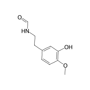 COc1ccc(CCNC=O)cc1O